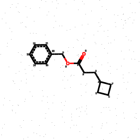 O=C(CCC1CCC1)OCc1ccccc1